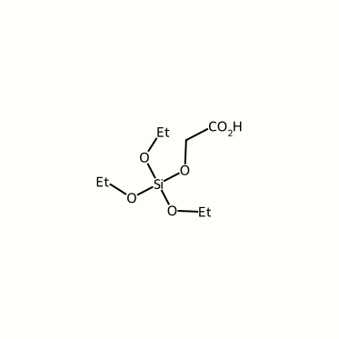 CCO[Si](OCC)(OCC)OCC(=O)O